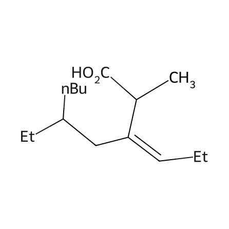 CCC=C(CC(CC)CCCC)C(C)C(=O)O